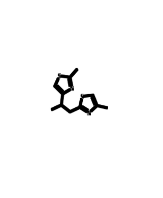 Cc1csc(CC(C)c2csc(C)n2)n1